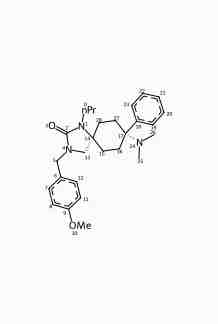 CCCN1C(=O)N(Cc2ccc(OC)cc2)C[C@]12CC[C@@](c1ccccc1)(N(C)C)CC2